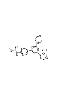 COC(=O)Nc1ncc(-c2nc(N3CCOCC3)c3c(n2)N2CCOC[C@@H]2C3)cn1